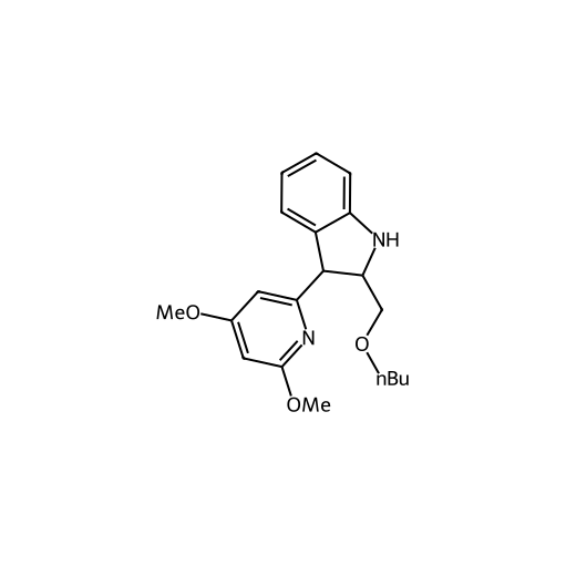 CCCCOCC1Nc2ccccc2C1c1cc(OC)cc(OC)n1